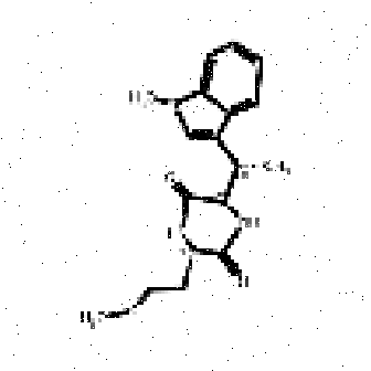 CSCC[C@H]1NC(=O)[C@@H]([C@@H](C)c2cn(C)c3ccccc23)NC1=O